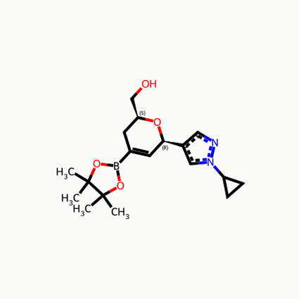 CC1(C)OB(C2=C[C@H](c3cnn(C4CC4)c3)O[C@H](CO)C2)OC1(C)C